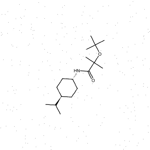 CC(C)[C@H]1CC[C@H](NC(=O)C(C)(C)OC(C)(C)C)CC1